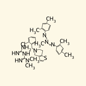 CN(C)C(=N)NC(=N)N.Cc1ccc(/N=C/N(C)/C=N/c2ccc(C)cc2C)c(C)c1.Clc1ccccc1CN1CCc2sccc2C1